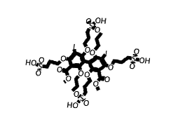 CCCOc1c(I)c(OCCCS(=O)(=O)O)c(C(=O)OC)c(OCCCS(=O)(=O)O)c1-c1c(OCCCS(=O)(=O)O)c(I)c(OCCCS(=O)(=O)O)c(C(=O)OC)c1OCCC